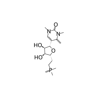 C=C1C([C@@H]2O[C@H](CCP(=C)(C)C)[C@@H](O)[C@H]2O)=CN(C)C(=O)N1C